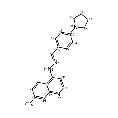 Clc1ccc2c(NN=Cc3ccc(N4CCCC4)cc3)ccnc2c1